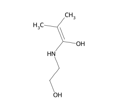 CC(C)=C(O)NCCO